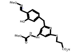 CO/N=C/c1ccc(Cc2cc(NNC(=O)OC)cc(SCCC(=O)O)n2)cc1O